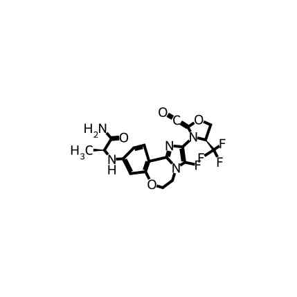 C[C@H](Nc1ccc2c(c1)OCCn1c-2nc(N2C(=C=O)OC[C@H]2C(F)(F)F)c1F)C(N)=O